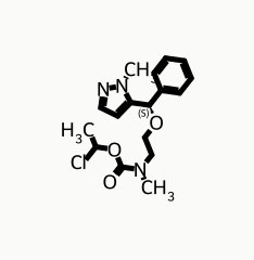 CC(Cl)OC(=O)N(C)CCO[C@@H](c1ccccc1)c1ccnn1C